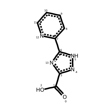 O=C(O)c1n[nH]c(-c2ccccn2)n1